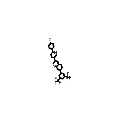 Fc1ccc(-c2ccc(-c3cnc4cc(-c5cc(C(F)(F)F)cc(C(F)(F)F)c5)ccc4c3)cn2)cc1